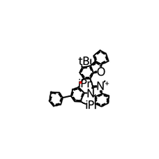 Cc1cc(C(C)(C)C)c2c(oc3ccccc32)c1-c1n(-c2c(C(C)C)cc(-c3ccccc3)cc2C(C)C)c2ccccc2[n+]1C